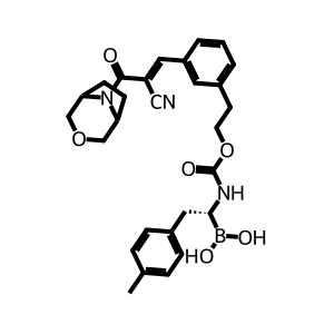 Cc1ccc(C[C@H](NC(=O)OCCc2cccc(/C=C(\C#N)C(=O)N3C4CCC3COC4)c2)B(O)O)cc1